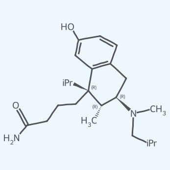 CC(C)CN(C)[C@@H]1Cc2ccc(O)cc2[C@](CCCC(N)=O)(C(C)C)[C@H]1C